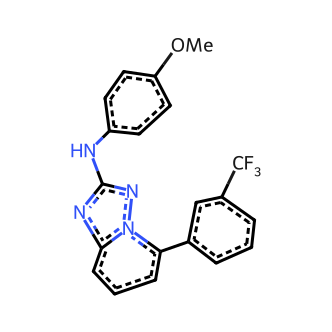 COc1ccc(Nc2nc3cccc(-c4cccc(C(F)(F)F)c4)n3n2)cc1